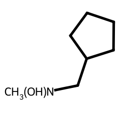 CN(O)CC1CCCC1